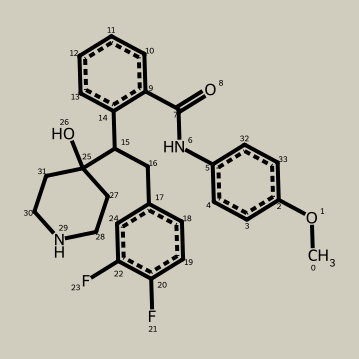 COc1ccc(NC(=O)c2ccccc2C(Cc2ccc(F)c(F)c2)C2(O)CCNCC2)cc1